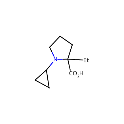 CCC1(C(=O)O)CCCN1C1CC1